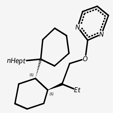 CCCCCCCC1([C@H]2CCCC[C@@H]2C(CC)COc2ncccn2)CCCCC1